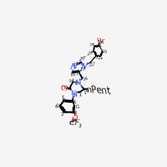 CCCCCC1CN(c2cccc(OC(F)(F)F)c2)C(=O)CN1Cc1cncn1Cc1ccc(Br)cc1